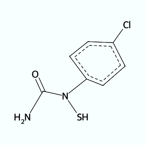 NC(=O)N(S)c1ccc(Cl)cc1